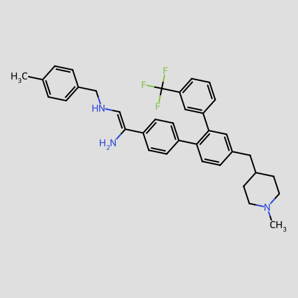 Cc1ccc(CN/C=C(\N)c2ccc(-c3ccc(CC4CCN(C)CC4)cc3-c3cccc(C(F)(F)F)c3)cc2)cc1